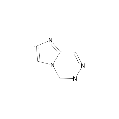 [c]1cn2cnncc2n1